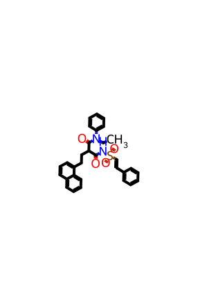 CCN(C(=O)C(CCc1cccc2ccccc12)C(=O)NS(=O)(=O)C=Cc1ccccc1)c1ccccc1